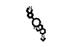 C[C@H]1CCC(c2ccc3ccncc3c2)CC/C=C2/C=C3CCC(N4CCC4)C[C@]34CC[C@@]21O4